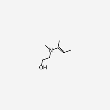 C/C=C(\C)N(C)CCO